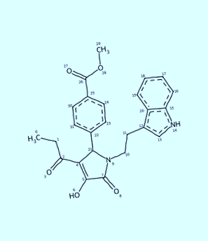 CCC(=O)C1=C(O)C(=O)N(CCc2c[nH]c3ccccc23)C1c1ccc(C(=O)OC)cc1